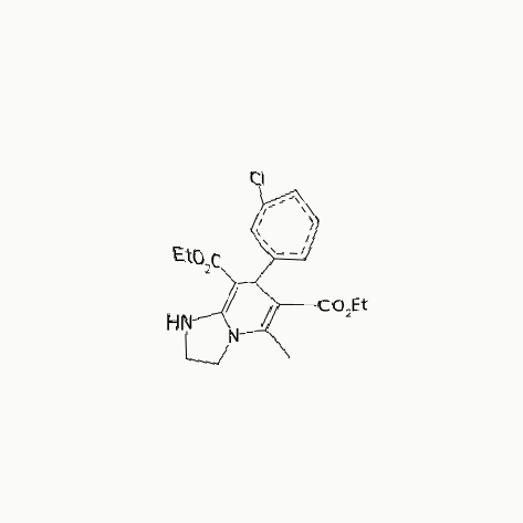 CCOC(=O)C1=C(C)N2CCNC2=C(C(=O)OCC)C1c1cccc(Cl)c1